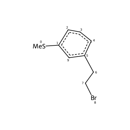 CSc1cc[c]c(CCBr)c1